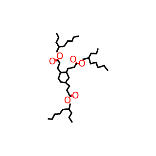 CCCCCC(CCC)COC(=O)CCC1CCC(CCC(=O)OCC(CCC)CCCCC)C(CCC(=O)OCC(CCC)CCCCC)C1